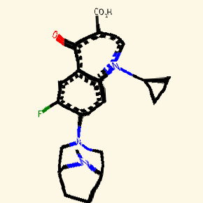 CN1C2CCC1CN(c1cc3c(cc1F)c(=O)c(C(=O)O)cn3C1CC1)C2